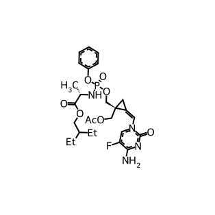 CCC(CC)COC(=O)[C@H](C)NP(=O)(OC[C@@]1(COC(C)=O)C/C1=C/n1cc(F)c(N)nc1=O)Oc1ccccc1